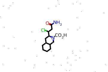 NC(=O)CC(Cl)C1CC2CCCCC2CN1C(=O)O